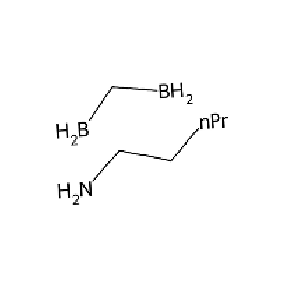 BCB.CCCCCN